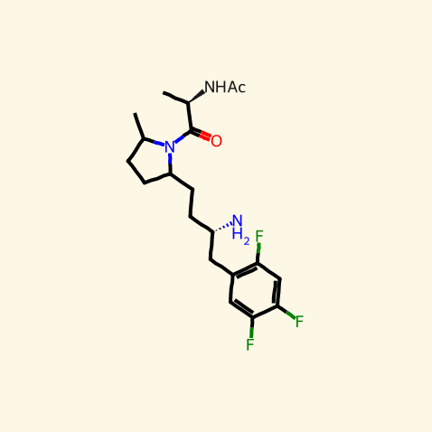 CC(=O)N[C@H](C)C(=O)N1C(C)CCC1CC[C@H](N)Cc1cc(F)c(F)cc1F